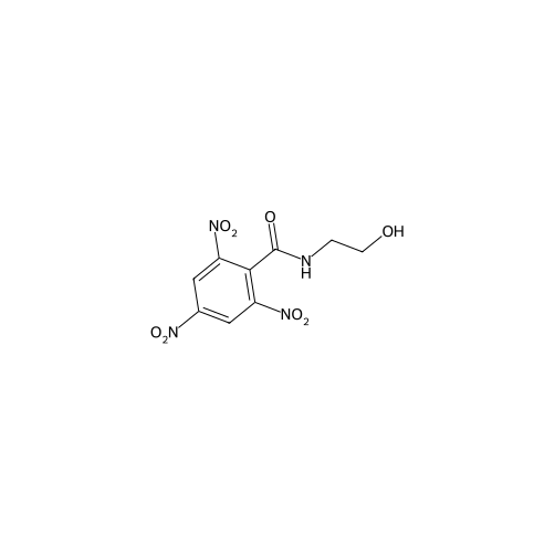 O=C(NCCO)c1c([N+](=O)[O-])cc([N+](=O)[O-])cc1[N+](=O)[O-]